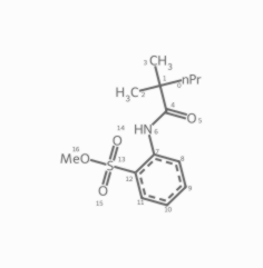 CCCC(C)(C)C(=O)Nc1ccccc1S(=O)(=O)OC